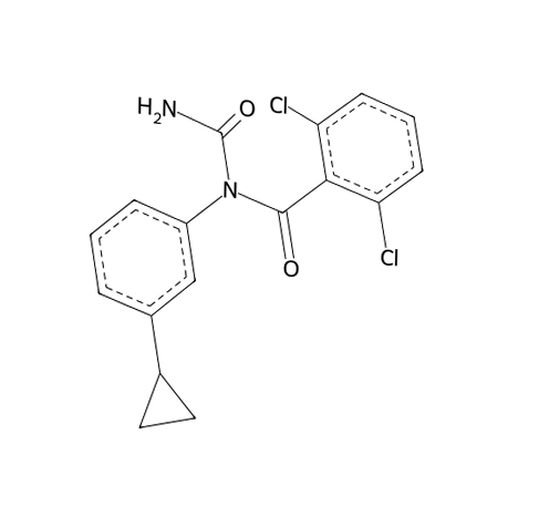 NC(=O)N(C(=O)c1c(Cl)cccc1Cl)c1cccc(C2CC2)c1